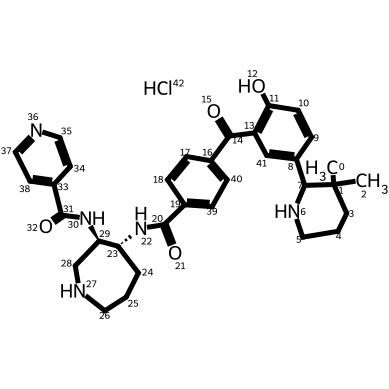 CC1(C)CCCNC1c1ccc(O)c(C(=O)c2ccc(C(=O)N[C@@H]3CCCNC[C@H]3NC(=O)c3ccncc3)cc2)c1.Cl